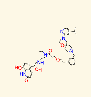 CCN(CCNC[C@H](O)c1ccc(O)c2[nH]c(=O)ccc12)C(=O)CCOCCc1cccc(CN2CCC3(CC2)CN(c2cc(C(C)C)ccn2)CCO3)c1